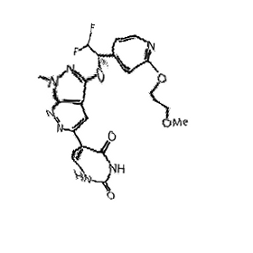 COCCOc1cc([C@@H](Oc2nn(C)c3nnc(-c4c[nH]c(=O)[nH]c4=O)cc23)C(F)F)ccn1